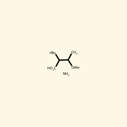 CCCCC(C(=O)O)C(C)OC.N